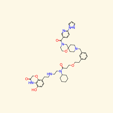 O=C1COc2c(CCNCCN(C(=O)CCOCCc3cccc(CN4CCC5(CC4)CN(C(=O)c4ccc(-n6cccn6)nc4)CCO5)c3)C3CCCCC3)ccc(O)c2N1